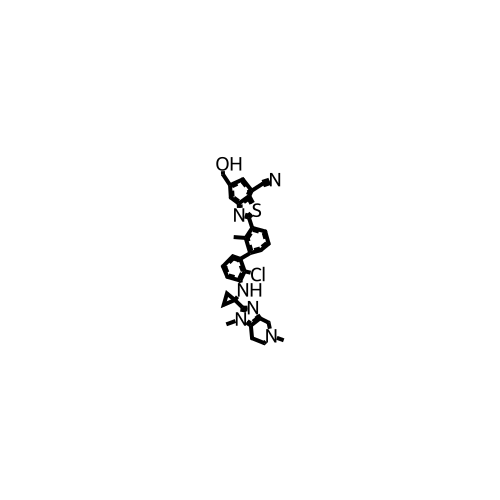 Cc1c(-c2nc3cc(CO)cc(C#N)c3s2)cccc1-c1cccc(NC2(c3nc4c(n3C)CCN(C)C4)CC2)c1Cl